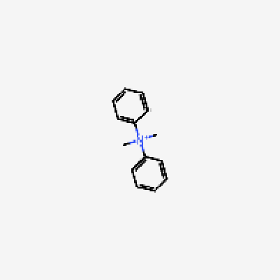 C[N+](C)(c1[c]cccc1)c1ccccc1